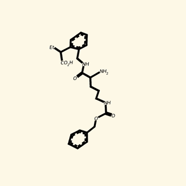 CCC(C(=O)O)c1ccccc1CNC(=O)C(N)CCCNC(=O)OCc1ccccc1